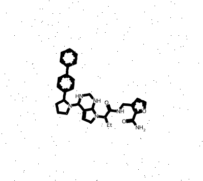 CCC(C(=O)NCc1ccoc1C(N)=O)N1CC=C2C1NCNC2N1CCCC1c1ccc(-c2ccccc2)cc1